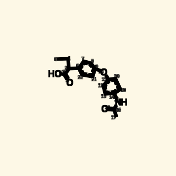 CCC(C(=O)O)c1ccc(Oc2ccc(NC(C)=O)cc2)cc1